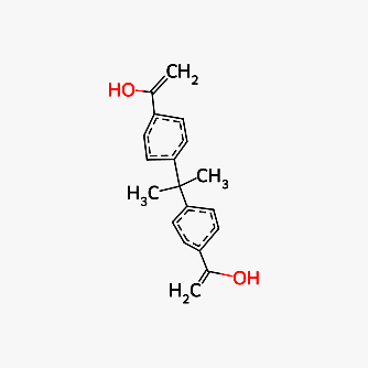 C=C(O)c1ccc(C(C)(C)c2ccc(C(=C)O)cc2)cc1